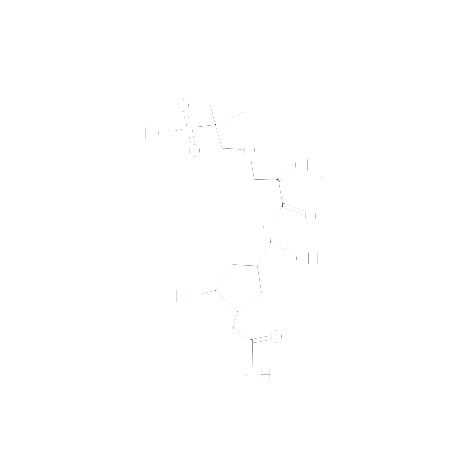 C=C(COCC(F)(F)S(=O)(=O)O)C(=O)OC(C)C1CC(C)C(CC(=O)O)C1